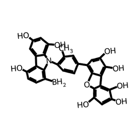 Bc1ccc(O)c2c3cc(O)cc(O)c3n(-c3ccc(-c4cc(O)c(O)c5c4oc4c(O)cc(O)c(O)c45)cc3C)c12